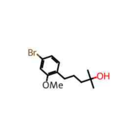 COc1cc(Br)ccc1CCCC(C)(C)O